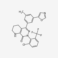 Cc1cc(-c2cnco2)cc(-c2nn(-c3c(Cl)cccc3C(F)(F)F)c(=O)c3c2CCCN3)c1